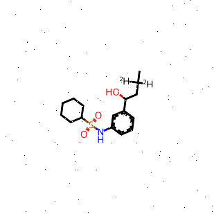 [2H]C([2H])(C)CC(O)c1cccc(NS(=O)(=O)C2CCCCC2)c1